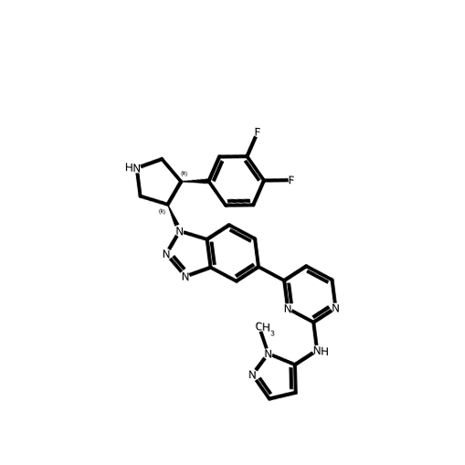 Cn1nccc1Nc1nccc(-c2ccc3c(c2)nnn3[C@H]2CNC[C@H]2c2ccc(F)c(F)c2)n1